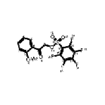 COc1ccccc1C(=O)COS(=O)(=O)c1c(F)c(F)c(F)c(F)c1F